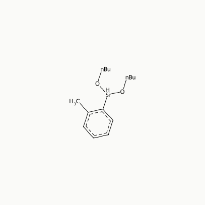 CCCCO[SiH](OCCCC)c1ccccc1C